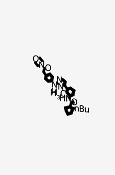 CCCCc1ccccc1C(=O)Nc1cccc(-c2ccnc(Nc3ccc(CC(=O)N4CCOCC4)cc3)n2)c1C